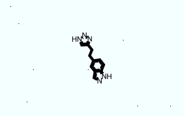 c1cc2[nH]ncc2cc1CCc1c[nH]nn1